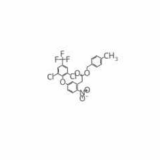 Cc1ccc(COC(=O)Cc2cc(Oc3c(Cl)cc(C(F)(F)F)cc3Cl)ccc2[N+](=O)[O-])cc1